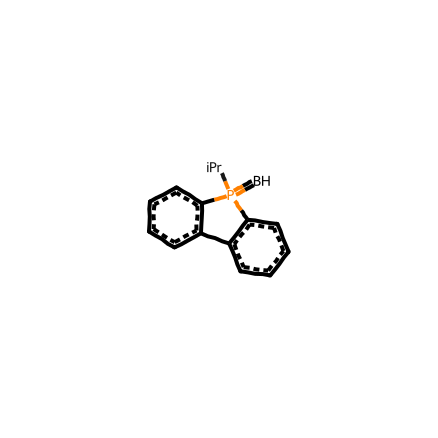 B=P1(C(C)C)c2ccccc2-c2ccccc21